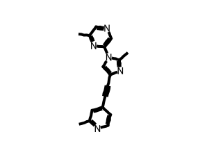 Cc1cc(C#Cc2cn(-c3cncc(C)n3)c(C)n2)ccn1